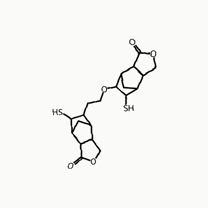 O=C1OCC2C3CC(C(S)C3CCOC3C(S)C4CC3C3C(=O)OCC43)C12